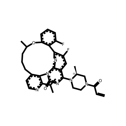 C=CC(=O)N1CCN(c2nc(=O)n3c4nc(c(F)cc24)-c2c(F)cccc2OC(C)CCCc2ccnc(C(C)C)c2-3)[C@@H](C)C1